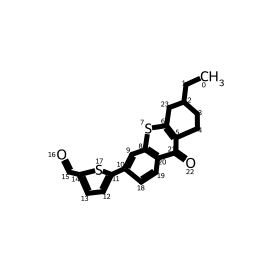 CCC1CCc2c(sc3cc(-c4ccc(C=O)s4)ccc3c2=O)C1